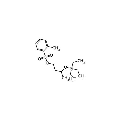 CC[Si](CC)(CC)OC(C)CCOS(=O)(=O)c1ccccc1C